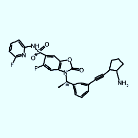 C[C@H](c1cccc(C#CC2CCCC2N)c1)n1c(=O)oc2cc(S(=O)(=O)Nc3cccc(F)n3)c(F)cc21